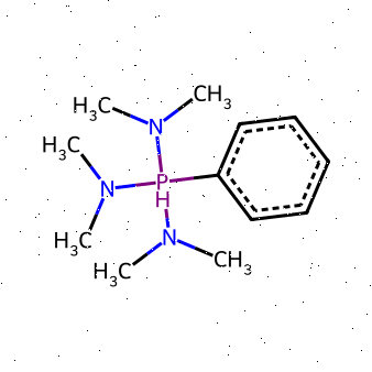 CN(C)[PH](c1ccccc1)(N(C)C)N(C)C